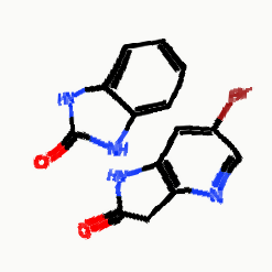 O=C1Cc2ncc(Br)cc2N1.O=c1[nH]c2ccccc2[nH]1